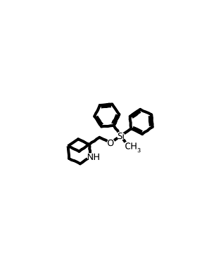 C[Si](OCC12CC(CCN1)C2)(c1ccccc1)c1ccccc1